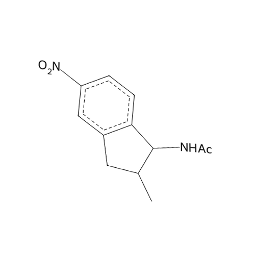 CC(=O)NC1c2ccc([N+](=O)[O-])cc2CC1C